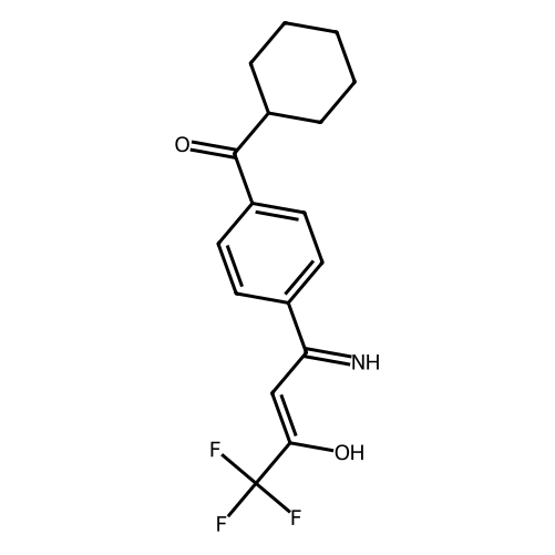 N=C(/C=C(\O)C(F)(F)F)c1ccc(C(=O)C2CCCCC2)cc1